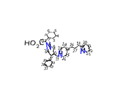 O=C(O)C(C1CCCCC1)N1CC(CN2CCC(CCCc3ccccn3)CC2)C(c2ccccc2)C1